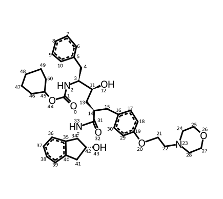 O=C(N[C@@H](Cc1ccccc1)[C@@H](O)C[C@@H](Cc1ccc(OCCN2CCOCC2)cc1)C(=O)N[C@H]1c2ccccc2C[C@H]1O)OC1CCCCC1